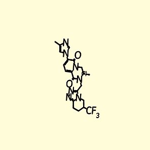 Cc1cn(-c2ccc3n(c2=O)C[C@@H](C)N(Cc2nnc4n2CC(C(F)(F)F)CC4)C3=O)cn1